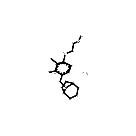 COCCOc1ccc(CN2C3CCCC2CC3)c(C)c1C.N